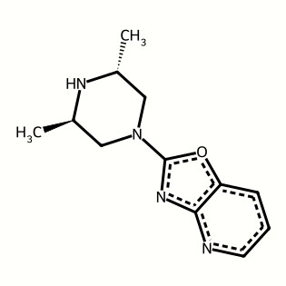 C[C@@H]1CN(c2nc3ncccc3o2)C[C@@H](C)N1